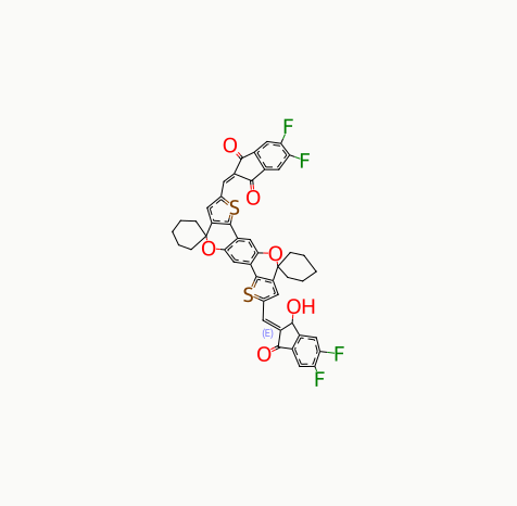 O=C1C(=Cc2cc3c(s2)-c2cc4c(cc2OC32CCCCC2)-c2sc(/C=C3/C(=O)c5cc(F)c(F)cc5C3O)cc2C2(CCCCC2)O4)C(=O)c2cc(F)c(F)cc21